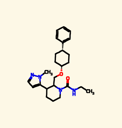 CCNC(=O)N1CCCC(c2ccnn2C)C1CO[C@H]1CC[C@@H](c2ccccc2)CC1